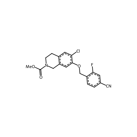 COC(=O)N1CCc2cc(Cl)c(OCc3ccc(C#N)cc3F)cc2C1